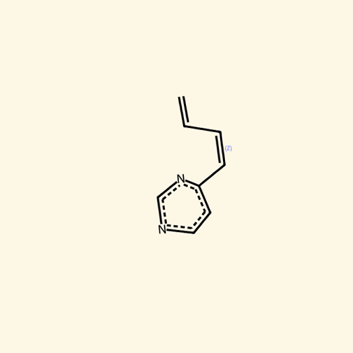 C=C/C=C\c1ccncn1